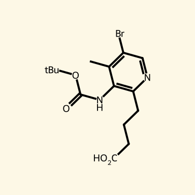 Cc1c(Br)cnc(CCCC(=O)O)c1NC(=O)OC(C)(C)C